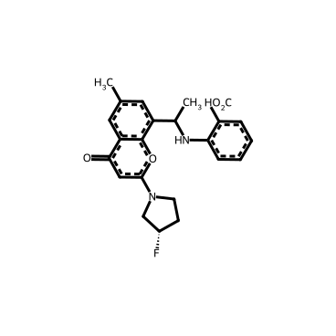 Cc1cc(C(C)Nc2ccccc2C(=O)O)c2oc(N3CC[C@H](F)C3)cc(=O)c2c1